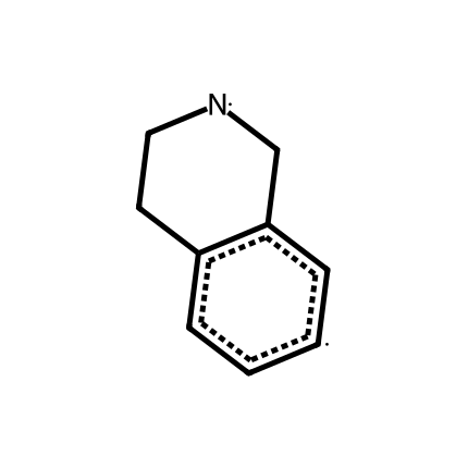 [c]1ccc2c(c1)C[N]CC2